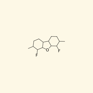 CC1CCC2C3CCC(C)C(F)C3OC2C1F